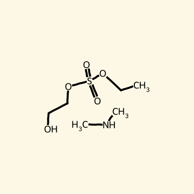 CCOS(=O)(=O)OCCO.CNC